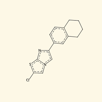 Clc1cn2cc(-c3ccc4c(c3)CCCC4)nc2s1